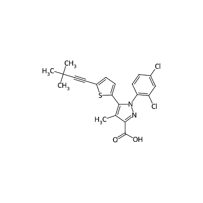 Cc1c(C(=O)O)nn(-c2ccc(Cl)cc2Cl)c1-c1ccc(C#CC(C)(C)C)s1